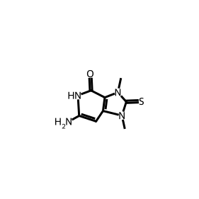 Cn1c(=S)n(C)c2c(=O)[nH]c(N)cc21